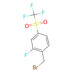 O=S(=O)(c1ccc(CBr)c(F)c1)C(F)(F)F